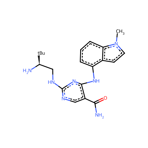 Cn1ccc2c(Nc3nc(NC[C@@H](N)C(C)(C)C)ncc3C(N)=O)cccc21